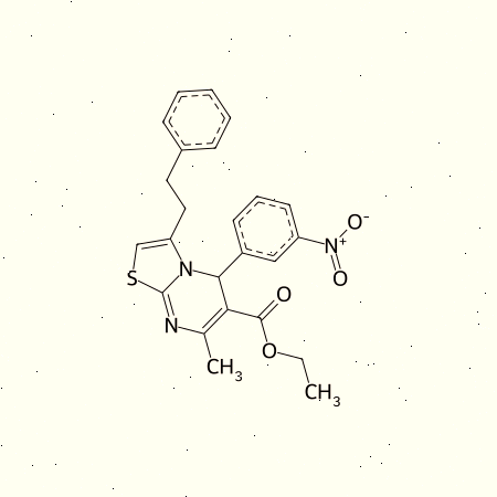 CCOC(=O)C1=C(C)N=C2SC=C(CCc3ccccc3)N2C1c1cccc([N+](=O)[O-])c1